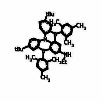 CCNc1cc2c3c(c1)B(c1c(C)cc(C)cc1C)c1cc(C(C)(C)C)ccc1N3c1ccc(C(C)(C)C)cc1B2c1c(C)cc(C)cc1C